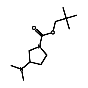 CN(C)C1CCN(C(=O)OCC(C)(C)C)C1